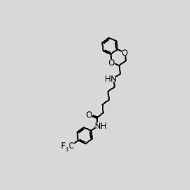 O=C(CCCCCNCC1COc2ccccc2O1)Nc1ccc(C(F)(F)F)cc1